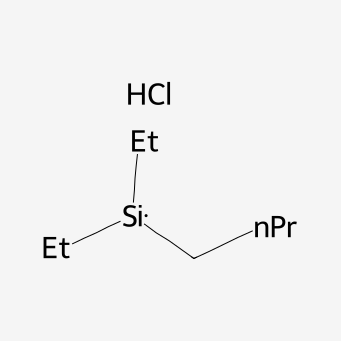 CCCC[Si](CC)CC.Cl